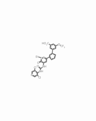 CCn1nc(-c2cccc(-c3cc(OC(F)(F)F)cc(C(=O)O)c3)c2)cc(NC(=O)Nc2c(Cl)cncc2Cl)c1=O